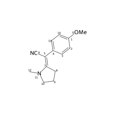 COc1ccc(/C(C#N)=C2\CCCN2C)cc1